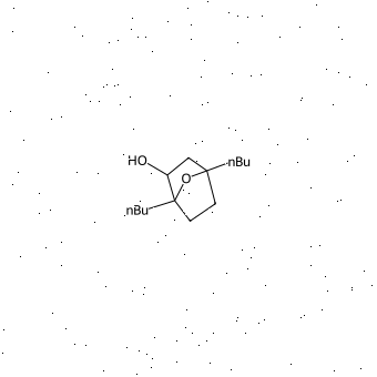 CCCCC12CCC(CCCC)(O1)C(O)C2